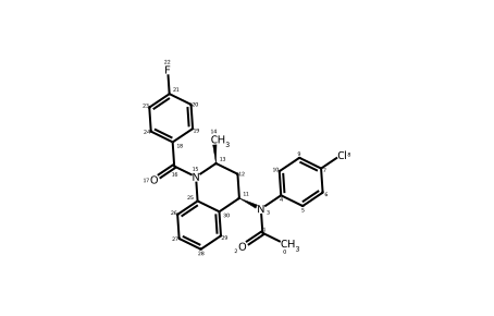 CC(=O)N(c1ccc(Cl)cc1)[C@@H]1C[C@H](C)N(C(=O)c2ccc(F)cc2)c2ccccc21